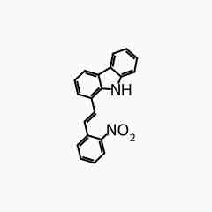 O=[N+]([O-])c1ccccc1/C=C/c1cccc2c1[nH]c1ccccc12